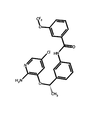 C[C@H](Oc1cc(Cl)cnc1N)c1cccc(NC(=O)c2cccc(OC(F)(F)F)c2)c1